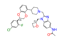 CC(=O)Nc1ccc2c(c1)nc(CN1CCC(c3cccc4c3OC[C@@H](c3ccc(Cl)cc3F)O4)CC1)n2C[C@@H]1CCO1